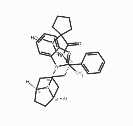 Cc1nc2ccccc2n1[C@@H]1C[C@H]2CC[C@@H](C1)N2CC[C@H](NC(=O)C1(N(C(=O)O)C(C)(C)C)CCCC1)c1ccccc1